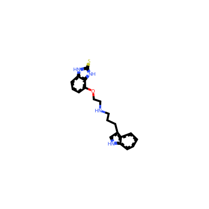 S=c1[nH]c2cccc(OCCNCCCc3c[nH]c4ccccc34)c2[nH]1